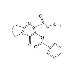 COC(=O)c1nc2n(c(=O)c1OC(=O)c1ccccc1)CCC2